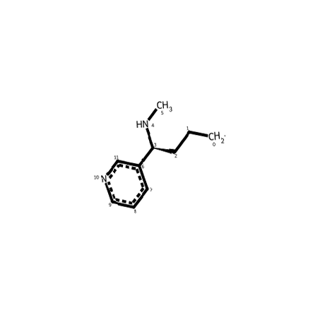 [CH2]CC[C@H](NC)c1cccnc1